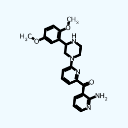 COc1ccc(OC)c(C2CN(c3cccc(C(=O)c4cccnc4N)n3)CCN2)c1